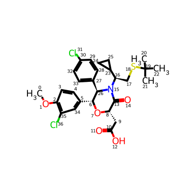 COc1ccc([C@H]2O[C@@H](CC(=O)O)C(=O)N([C@H](CSC(C)(C)C)C3CC3)[C@@H]2c2ccc(Cl)cc2)cc1Cl